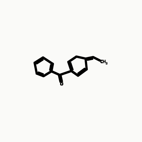 CC=C1C=CC(C(=O)c2ccccc2)=CC1